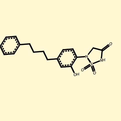 O=C1CN(c2ccc(CCCCc3ccccc3)cc2O)S(=O)(=O)N1